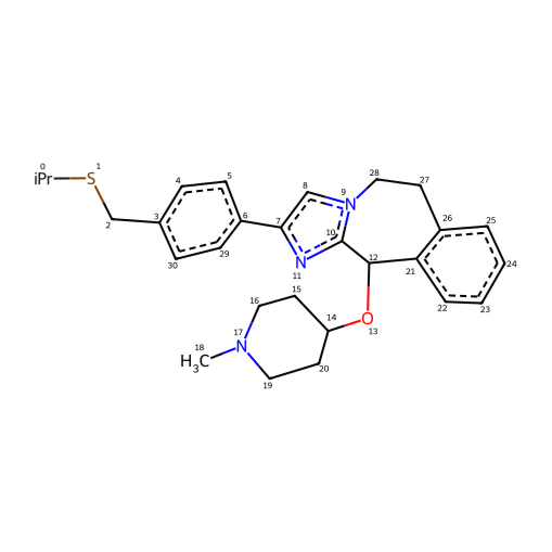 CC(C)SCc1ccc(-c2cn3c(n2)C(OC2CCN(C)CC2)c2ccccc2CC3)cc1